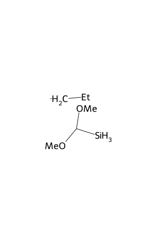 COC([SiH3])OC.[CH2]CC